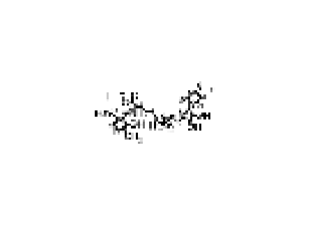 COC(=O)C(CCCCNP(=O)(O)OCC1OC(n2ccc(N)nc2=O)C(O)C1O)NCc1c(CO)cnc(C)c1O